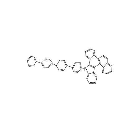 C1=CC(c2ccc(-c3ccccc3)cc2)CC=C1c1ccc(-n2c3ccccc3c3c4c5ccccc5ccc4c4ccccc4c32)cc1